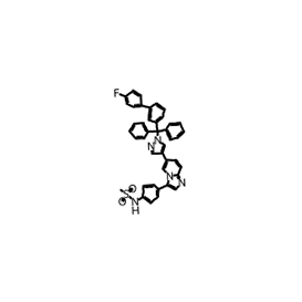 CS(=O)(=O)Nc1ccc(-c2cnc3ccc(-c4cnn(C(c5ccccc5)(c5ccccc5)c5cccc(-c6ccc(F)cc6)c5)c4)cn23)cc1